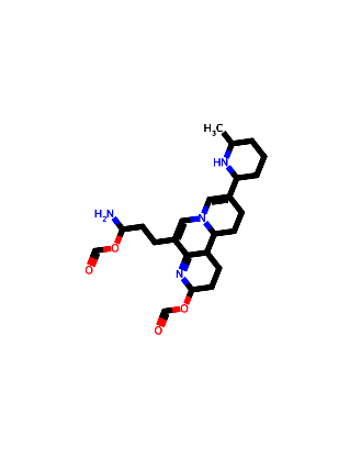 CC1CCCC(C2=CN3C=C(CCC(N)OC=O)C4=NC(OC=O)CCC4C3CC2)N1